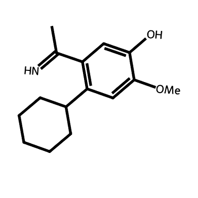 COc1cc(C2CCCCC2)c(C(C)=N)cc1O